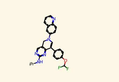 CC(C)Nc1ncc2c(n1)C(c1ccc(OC(F)F)cc1)=CN(c1ccc3ncccc3c1)C2